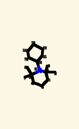 CC1(C)CCCC(C)(C)N1C1CCCCC1